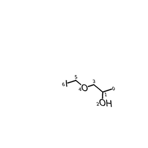 CC(O)COCI